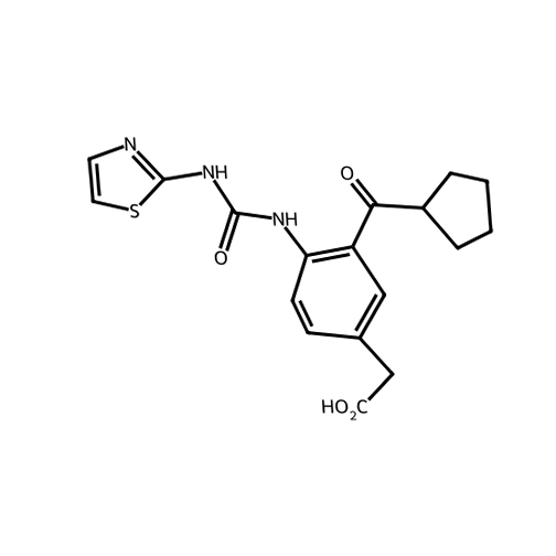 O=C(O)Cc1ccc(NC(=O)Nc2nccs2)c(C(=O)C2CCCC2)c1